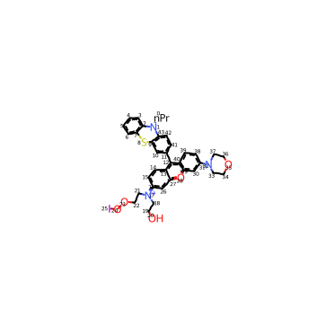 CCCN1c2ccccc2Sc2cc(-c3c4cc/c(=[N+](/CCO)CCOOI)cc-4oc4cc(N5CCOCC5)ccc34)ccc21